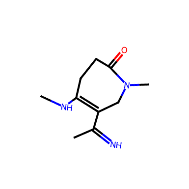 CNC1=C(C(C)=N)CN(C)C(=O)CC1